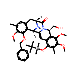 COc1c(C)cc2c(c1OCc1ccccc1)[C@@H]1C3=Cc4c(O[Si](C)(C)C(C)(C)C)c(C)c(OC)c(OC)c4[C@H](CO)N3C(=O)[C@@H](C2)N1C